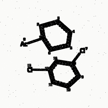 CC(=O)c1ccccc1.Clc1cccc(Cl)c1